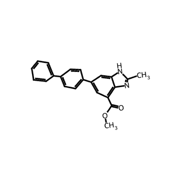 COC(=O)c1cc(-c2ccc(-c3ccccc3)cc2)cc2[nH]c(C)nc12